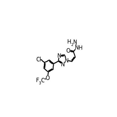 NNC(=O)/C=C\n1cnc(-c2cc(Cl)cc(OC(F)(F)F)c2)n1